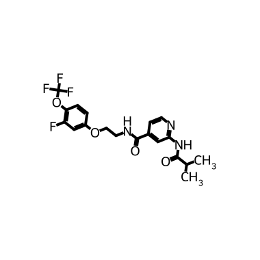 CC(C)C(=O)Nc1cc(C(=O)NCCOc2ccc(OC(F)(F)F)c(F)c2)ccn1